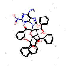 Nc1nc([N+](=O)[O-])nc2c1ncn2[C@]1(C(=O)c2ccccc2)O[C@](C(=O)c2ccccc2)(C(O)C(=O)c2ccccc2)[C@](O)(C(=O)c2ccccc2)[C@]1(O)C(=O)c1ccccc1